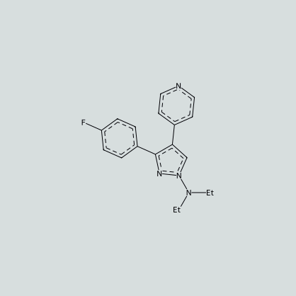 CCN(CC)n1cc(-c2ccncc2)c(-c2ccc(F)cc2)n1